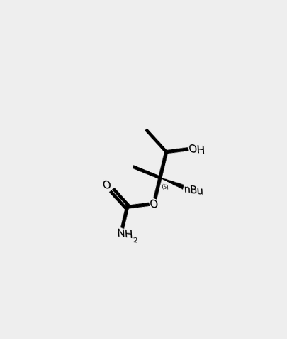 CCCC[C@](C)(OC(N)=O)C(C)O